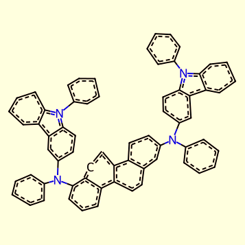 c1ccc(N(c2ccc3c(ccc4c5cccc(N(c6ccccc6)c6ccc7c(c6)c6ccccc6n7-c6ccccc6)c5ccc34)c2)c2ccc3c(c2)c2ccccc2n3-c2ccccc2)cc1